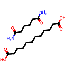 NC(=O)CCCCC(N)=O.O=C(O)CCCCCCCCCCC(=O)O